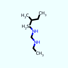 CCNCN[SiH2]C(C)CC